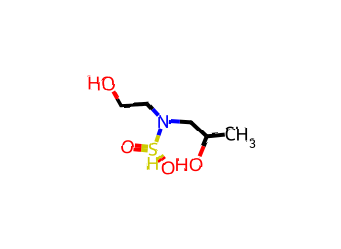 CC(O)CN(CCO)[SH](=O)=O